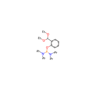 CCOC(OCC)c1ccccc1OP(N(C(C)C)C(C)C)N(C(C)C)C(C)C